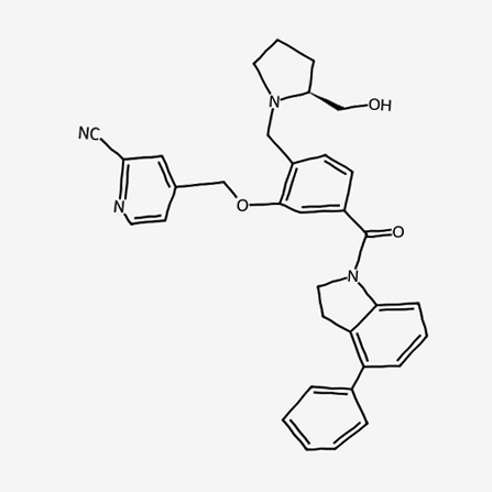 N#Cc1cc(COc2cc(C(=O)N3CCc4c(-c5ccccc5)cccc43)ccc2CN2CCC[C@H]2CO)ccn1